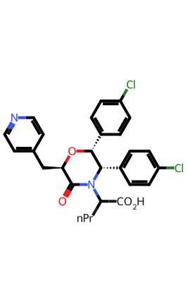 CCCC(C(=O)O)N1C(=O)[C@@H](Cc2ccncc2)O[C@H](c2ccc(Cl)cc2)[C@@H]1c1ccc(Cl)cc1